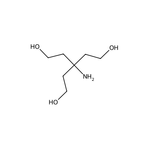 NC(CCO)(CCO)CCO